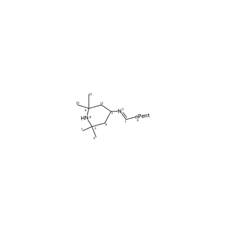 CCCCCC=NC1CC(C)(C)NC(C)(C)C1